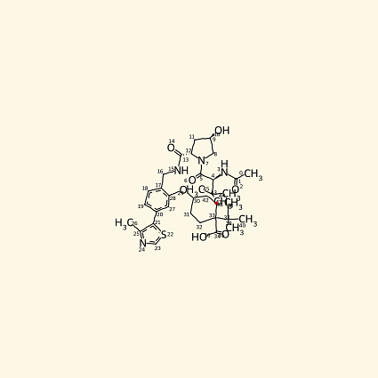 CC(=O)N[C@H](C(=O)N1C[C@H](O)C[C@H]1C(=O)NCc1ccc(-c2scnc2C)cc1OC1CCC(C(=O)O)(C(C)(C)C)CC1)C(C)(C)C